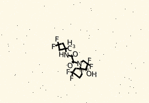 CC1(NC(=O)C(=O)N2CC(F)(F)[C@H](O)[C@@]23CCC(F)(F)C3)CC(F)(F)C1